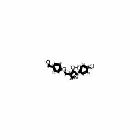 Cc1c(COc2ccc(C=O)cc2)cnn1-c1ccc(Cl)cc1